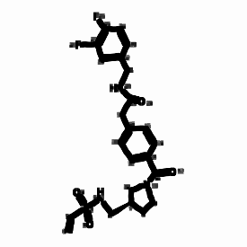 C=CS(=O)(=O)NC[C@@H]1CCN(C(=O)c2ccc(CC(=O)NCc3ccc(F)c(F)c3)cc2)C1